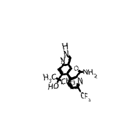 CC(C)(O)c1cc2n[nH]cc2cc1-c1ccc(C(F)(F)F)nc1C(N)=O